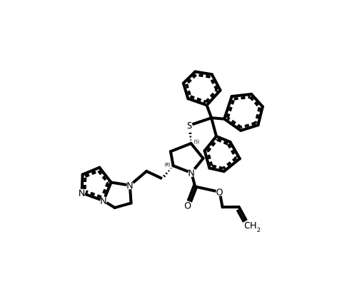 C=CCOC(=O)N1C[C@@H](SC(c2ccccc2)(c2ccccc2)c2ccccc2)C[C@H]1CCN1CCn2nccc21